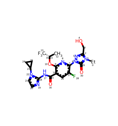 CCn1c(CO)nn(-c2nc(O[C@@H](C)C(F)(F)F)c(C(=O)Nc3nccn3C3CC3)cc2F)c1=O